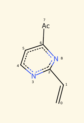 C=Cc1nccc(C(C)=O)n1